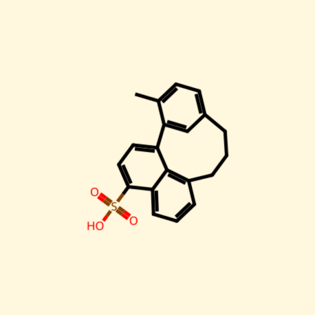 Cc1ccc2cc1-c1ccc(S(=O)(=O)O)c3cccc(c13)CCC2